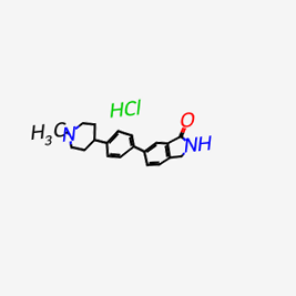 CN1CCC(c2ccc(-c3ccc4c(c3)C(=O)NC4)cc2)CC1.Cl